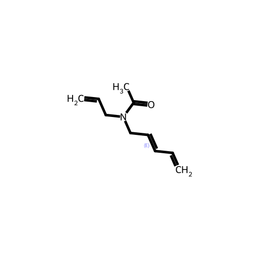 C=C/C=C/CN(CC=C)C(C)=O